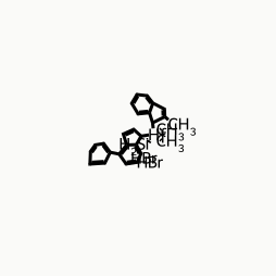 Br.Br.CC1=Cc2ccccc2[CH]1[Hf]([CH3])([CH3])(=[SiH2])[CH]1C=Cc2c(-c3ccccc3)cccc21